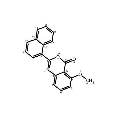 COc1cccc2nc(-c3cccc4ccccc34)oc(=O)c12